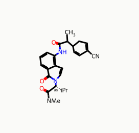 CNC(=O)[C@@H](C(C)C)n1ccc2c(NC(=O)C(C)C3C=CC(C#N)=CC3)cccc2c1=O